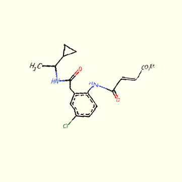 CCOC(=O)C=CC(=O)Nc1ccc(Cl)cc1C(=O)NC(C)C1CC1